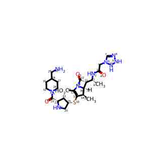 C[C@@H](NC(=O)CN1C=NNN1)[C@H]1C(=O)N2C(C(=O)O)=C(S[C@@H]3CN[C@H](C(=O)N4CCC(CN)CC4)C3)[C@H](C)[C@H]12